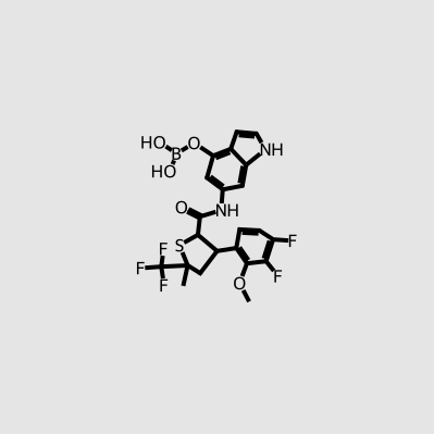 COc1c(C2CC(C)(C(F)(F)F)SC2C(=O)Nc2cc(OB(O)O)c3cc[nH]c3c2)ccc(F)c1F